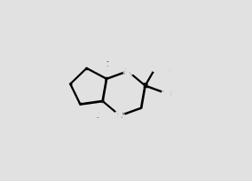 CC1(C)CN[C@H]2CCC[C@H]2N1